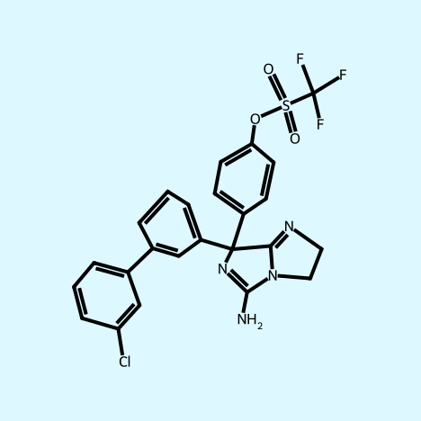 NC1=NC(c2ccc(OS(=O)(=O)C(F)(F)F)cc2)(c2cccc(-c3cccc(Cl)c3)c2)C2=NCCN12